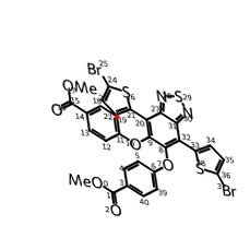 COC(=O)c1ccc(Oc2c(Oc3ccc(C(=O)OC)cc3)c(-c3ccc(Br)s3)c3nsnc3c2-c2ccc(Br)s2)cc1